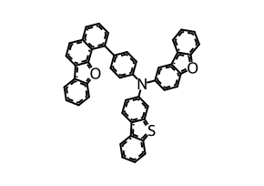 c1cc(-c2ccc(N(c3ccc4c(c3)sc3ccccc34)c3ccc4oc5ccccc5c4c3)cc2)c2c(c1)ccc1c3ccccc3oc12